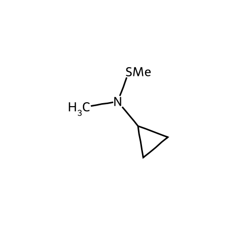 CSN(C)C1CC1